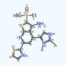 CCCC[SH](=O)(CC)c1sc2nc(-c3nccs3)cc(-c3cnc(C)n3C)c2c1N